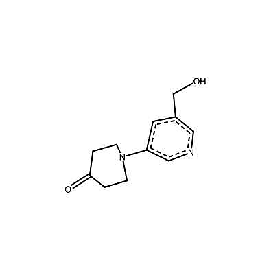 O=C1CCN(c2cncc(CO)c2)CC1